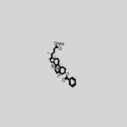 COC(=O)CC[C@@H](C)C1=CC[C@H]2[C@@H]3CC[C@@H]4C[C@H](OC(=O)c5ccccc5)CC[C@]4(C)C3=CC[C@]12C